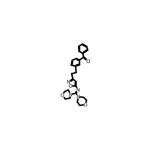 O=C(c1ccccc1)c1cccc(CCc2cc(N=C(N3CCOCC3)N3CCOCC3)on2)c1